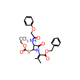 CC(C)=C(C(=O)OCc1ccccc1)N1C(=O)C(NC(=O)COc2ccccc2)C1SC(=O)OCC(Cl)(Cl)Cl